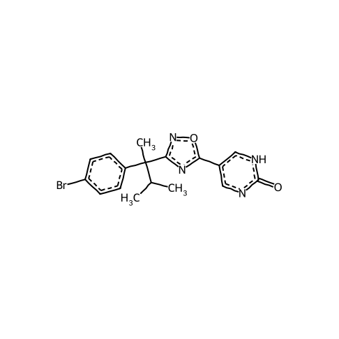 CC(C)C(C)(c1ccc(Br)cc1)c1noc(-c2cnc(=O)[nH]c2)n1